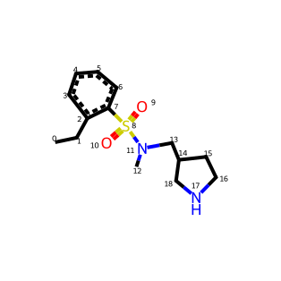 CCc1ccccc1S(=O)(=O)N(C)CC1CCNC1